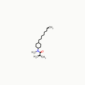 C=CCCCCCCC1CCC(N(C)C(=O)C(=C)C)CC1